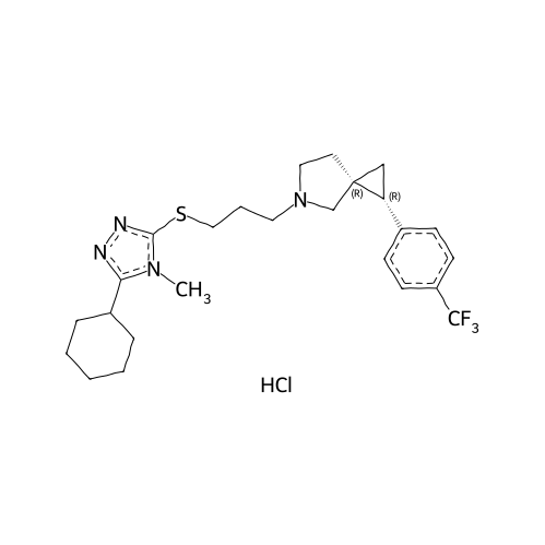 Cl.Cn1c(SCCCN2CC[C@@]3(C[C@@H]3c3ccc(C(F)(F)F)cc3)C2)nnc1C1CCCCC1